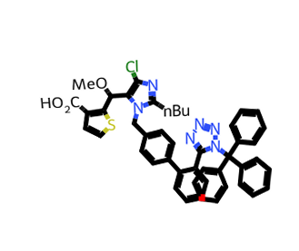 CCCCc1nc(Cl)c(C(OC)c2sccc2C(=O)O)n1Cc1ccc(-c2ccccc2-c2nnnn2C(c2ccccc2)(c2ccccc2)c2ccccc2)cc1